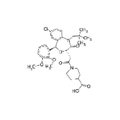 COc1cccc([C@@H]2O[C@@H](CC(=O)N3CCC(C(=O)O)CC3)C(=O)N(CC(C)(C)C)c3ccc(Cl)cc32)c1OC